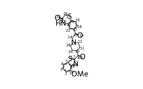 COc1cccc2sc(C(=O)C3CCN(CC(=O)c4ccc5c(c4)NC(=O)CS5)CC3)nc12